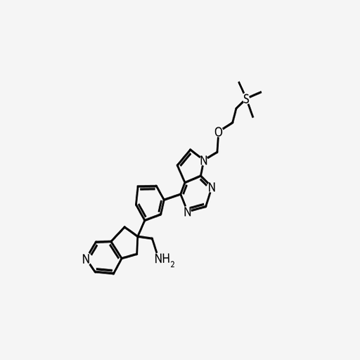 CS(C)(C)CCOCn1ccc2c(-c3cccc(C4(CN)Cc5ccncc5C4)c3)ncnc21